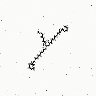 O=C(CCCCBr)OC(CCCCCCCCCOC1CCCCO1)CCCCCCCCCOC1CCCCO1